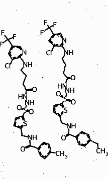 CCc1ccc(C(=O)NCc2ccc(S(=O)(=O)NNC(=O)CCCNc3ncc(C(F)(F)F)cc3Cl)s2)cc1.Cc1ccc(C(=O)NCc2ccc(S(=O)(=O)NNC(=O)CCCNc3ncc(C(F)(F)F)cc3Cl)s2)cc1